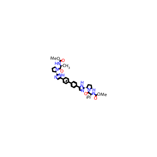 COC(=O)N[C@H](C(=O)N1CCC[C@H]1c1ncc(-c2ccc(C34CCC(c5cnc([C@@H]6CCCN6C(=O)[C@@H](C)NC(=O)OC)[nH]5)(CC3)CC4)cc2)[nH]1)C(C)C